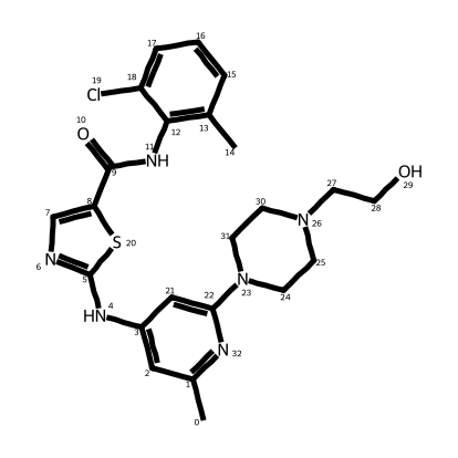 Cc1cc(Nc2ncc(C(=O)Nc3c(C)cccc3Cl)s2)cc(N2CCN(CCO)CC2)n1